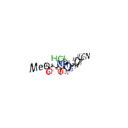 COC(=O)CCC(N)C(=O)c1ccc(-c2ccc(C#N)cc2)cc1.Cl